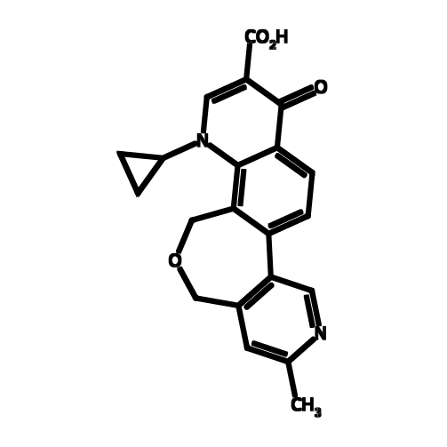 Cc1cc2c(cn1)-c1ccc3c(=O)c(C(=O)O)cn(C4CC4)c3c1COC2